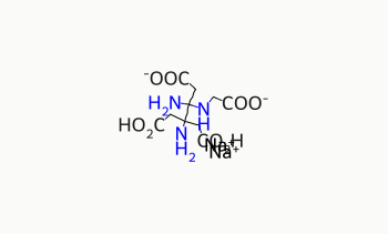 NC(CC(=O)O)(CC(=O)O)C(N)(CC(=O)[O-])NCC(=O)[O-].[Na+].[Na+]